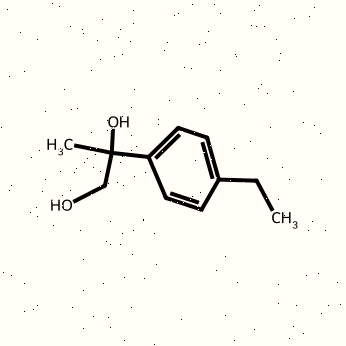 CCc1ccc(C(C)(O)CO)cc1